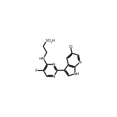 O=S(=O)(O)CCNc1nc(-c2c[nH]c3ncc(Cl)cc23)ncc1F